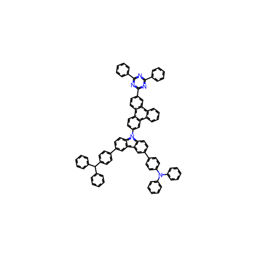 c1ccc(-c2nc(-c3ccccc3)nc(-c3ccc4c5ccc(-n6c7ccc(-c8ccc(C(c9ccccc9)c9ccccc9)cc8)cc7c7cc(-c8ccc(N(c9ccccc9)c9ccccc9)cc8)ccc76)cc5c5ccccc5c4c3)n2)cc1